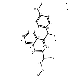 CCOC(=O)c1nc(N(C)c2ccc(OC)cc2)c2ccccc2n1